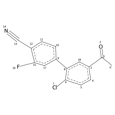 CC(=O)c1ccc(Cl)c(-c2ccc(C#N)c(F)c2)c1